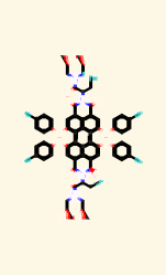 O=C(C(CC(F)(F)F)N1C(=O)c2cc(Oc3ccc(C(F)(F)F)cc3)c3c4c(Oc5ccc(C(F)(F)F)cc5)cc5c6c(cc(Oc7ccc(C(F)(F)F)cc7)c(c7c(Oc8ccc(C(F)(F)F)cc8)cc(c2c37)C1=O)c64)C(=O)N(C(CC(F)(F)F)C(=O)N(CC1CO1)CC1CO1)C5=O)N(CC1CO1)CC1CO1